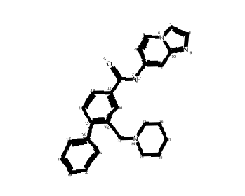 O=C(Nc1ccn2ccnc2c1)c1ccc(-c2ccccc2)c(CN2CCCCC2)c1